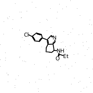 CCC(=O)NC1CCCc2c(-c3ccc(Cl)cc3)cncc21